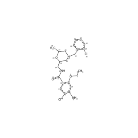 CCOc1cc(N)c(Cl)cc1C(=O)NCC1CN(Cc2ccccc2Cl)CC(C)O1